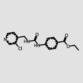 CCOC(=O)c1ccc(NC(=O)NCc2ccncc2Cl)cc1